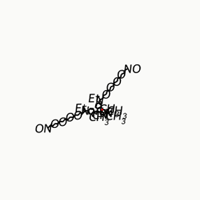 CCN(CCOCCOCCOCCOCCN=O)c1ccc(C(C#N)(c2ccc(N(C)C)cc2)c2ccc(N(CC)CCOCCOCCOCCOCCN=O)cc2C)c(C)c1